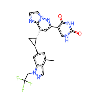 Cc1cc([C@H]2C[C@@H]2c2cc(-c3c[nH]c(=O)[nH]c3=O)nn3ccnc23)cc2c1cnn2CC(F)(F)F